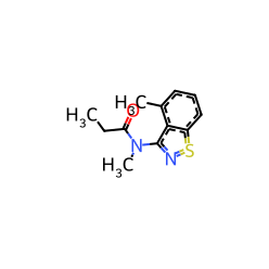 CCC(=O)N(C)c1nsc2cccc(C)c12